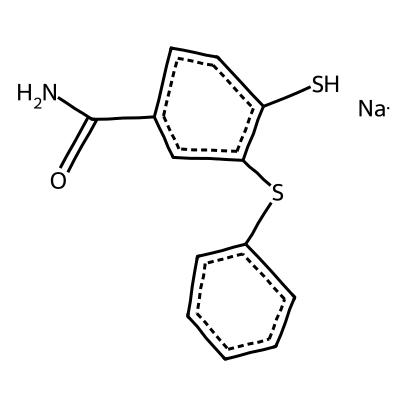 NC(=O)c1ccc(S)c(Sc2ccccc2)c1.[Na]